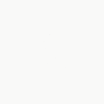 CCCCOC(=O)c1cc([S])ccc1C